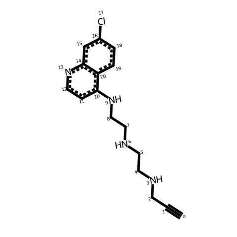 C#CCNCCNCCNc1ccnc2cc(Cl)ccc12